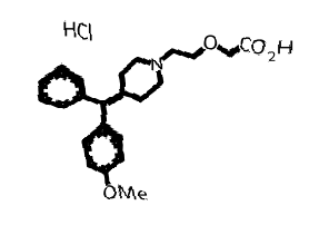 COc1ccc(C(=C2CCN(CCOCC(=O)O)CC2)c2ccccc2)cc1.Cl